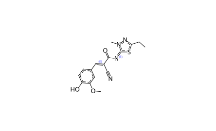 CCc1nn(C)/c(=N\C(=O)/C(C#N)=C/c2ccc(O)c(OC)c2)s1